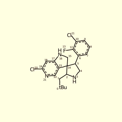 CC(C)(C)CC1NCC(c2cccc(Cl)c2F)C12CNc1cc(Cl)ncc12